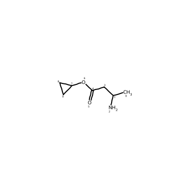 CC(N)CC(=O)OC1CC1